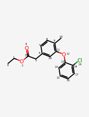 CCOC(=O)Cc1ccc(C)c(Oc2ccccc2Cl)c1